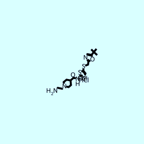 CC(C)(C)c1cnc(CSc2cnc(NC(=O)C3CCN(CCN)CC3)s2)o1.Cl.Cl